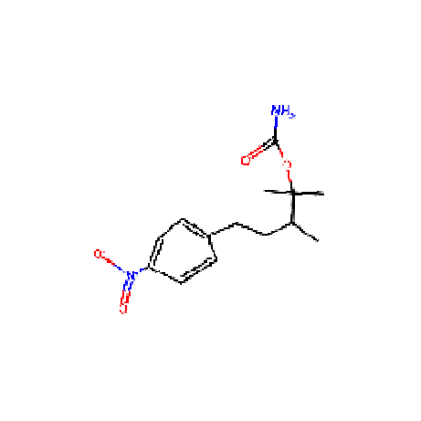 CC(CCc1ccc([N+](=O)[O-])cc1)C(C)(C)OC(N)=O